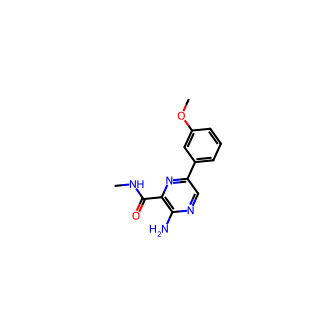 CNC(=O)c1nc(-c2cccc(OC)c2)cnc1N